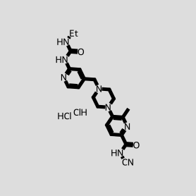 CCNC(=O)Nc1cc(CN2CCN(c3ccc(C(=O)NC#N)nc3C)CC2)ccn1.Cl.Cl